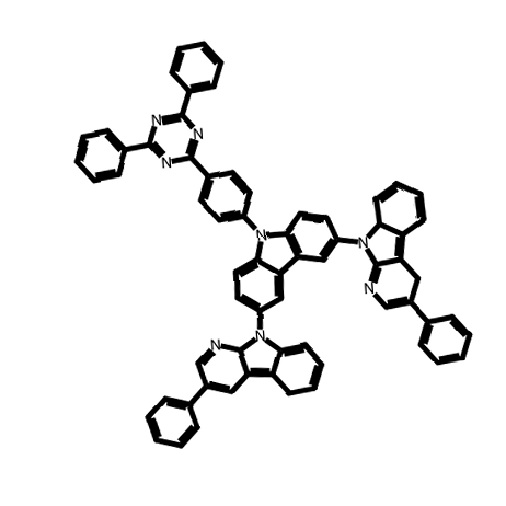 C1=CCC2=C3C=C(c4ccccc4)C=NC3N(c3ccc4c(c3)c3cc(N5C6=NC=C(c7ccccc7)CC6=C6C=CC=CC65)ccc3n4-c3ccc(-c4nc(-c5ccccc5)nc(-c5ccccc5)n4)cc3)C2=C1